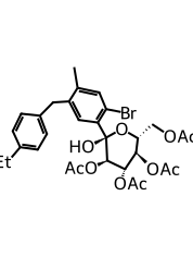 CCc1ccc(Cc2cc([C@]3(O)O[C@H](COC(C)=O)[C@@H](OC(C)=O)[C@H](OC(C)=O)[C@H]3OC(C)=O)c(Br)cc2C)cc1